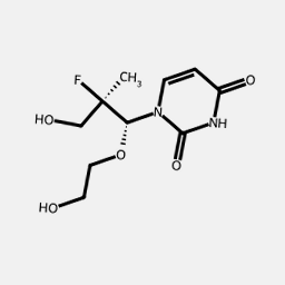 C[C@@](F)(CO)[C@@H](OCCO)n1ccc(=O)[nH]c1=O